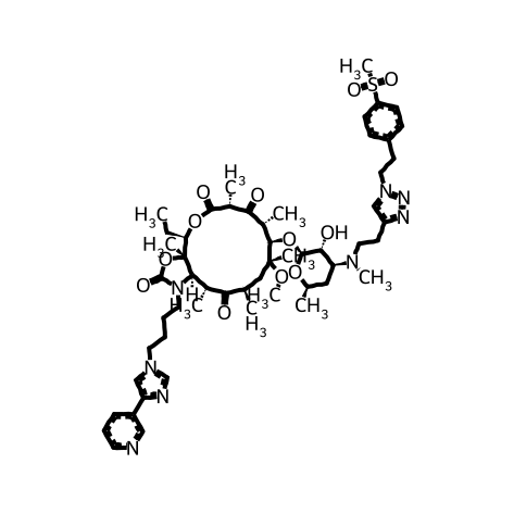 CC[C@H]1OC(=O)[C@H](C)C(=O)[C@H](C)[C@@H](O[C@@H]2O[C@H](C)C[C@H](N(C)CCc3cn(CCc4ccc(S(C)(=O)=O)cc4)nn3)[C@H]2O)[C@](C)(OC)C[C@@H](C)C(=O)[C@H](C)[C@H]2N(CCCCn3cnc(-c4cccnc4)c3)C(=O)O[C@]12C